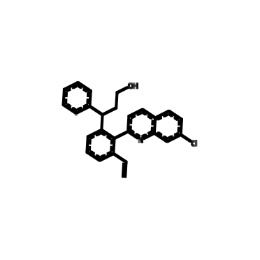 C=Cc1cccc(C(CCO)c2[c]cccc2)c1-c1ccc2ccc(Cl)cc2n1